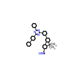 CC1(C)c2ccc(-c3cccc(-c4nc(-c5ccccc5)nc(-c5ccc(-c6ccccc6)cc5)n4)c3)cc2-c2ccc(C3CN3)cc21